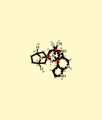 N#Cc1ccnc(N2[C@@H]3CC[C@H]2C[C@@H](n2c(=O)[nH]c4cnc5[nH]ccc5c42)C3)c1